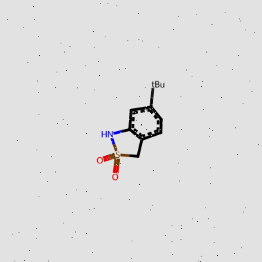 CC(C)(C)c1ccc2c(c1)NS(=O)(=O)C2